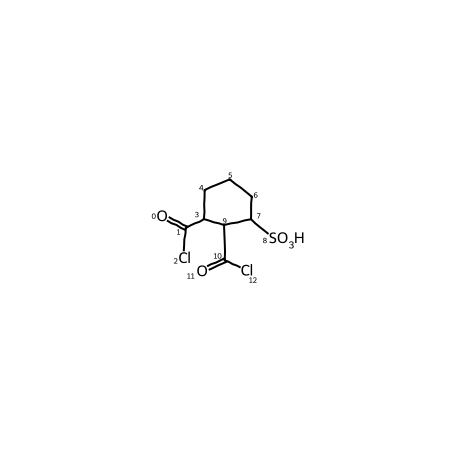 O=C(Cl)C1CCCC(S(=O)(=O)O)C1C(=O)Cl